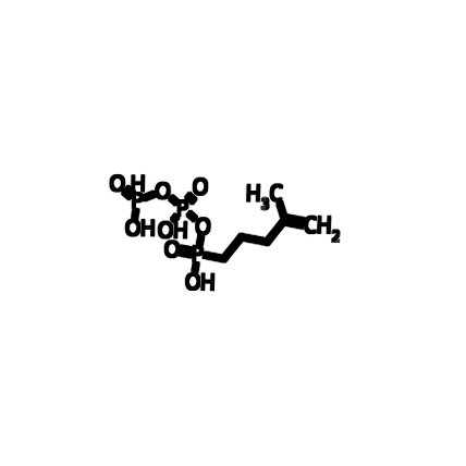 C=C(C)CCCP(=O)(O)OP(=O)(O)O[PH](=O)O